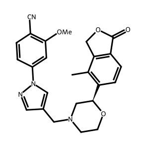 COc1cc(-n2cc(CN3CCO[C@H](c4ccc5c(c4C)COC5=O)C3)cn2)ccc1C#N